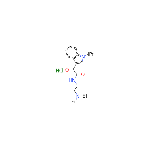 CCN(CC)CCNC(=O)C(=O)c1cn(C(C)C)c2ccccc12.Cl